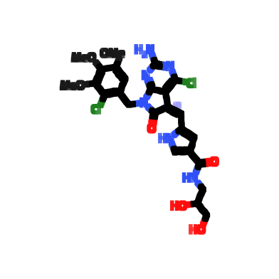 COc1cc(CN2C(=O)/C(=C\c3cc(C(=O)NCC(O)CO)c[nH]3)c3c(Cl)nc(N)nc32)c(Cl)c(OC)c1OC